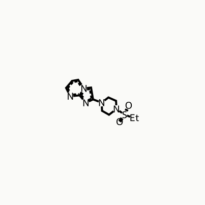 CCS(=O)(=O)N1CCN(c2cn3cccnc3n2)CC1